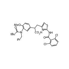 COc1ccc(C(Cc2csc(NC(=O)c3c(Cl)cccc3Cl)n2)C(=O)O)cc1N(CC(C)C)C(=O)C(C)(C)C